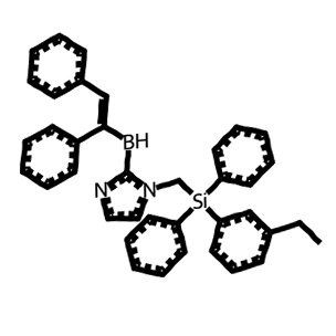 CCc1cccc([Si](Cn2ccnc2BC(=Cc2ccccc2)c2ccccc2)(c2ccccc2)c2ccccc2)c1